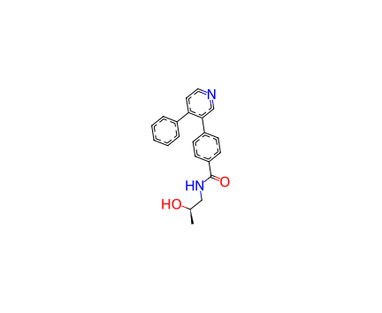 C[C@@H](O)CNC(=O)c1ccc(-c2cnccc2-c2ccccc2)cc1